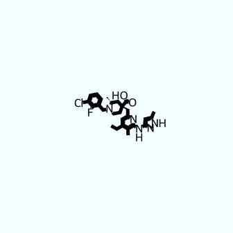 CCc1cc(C[C@@]2(C(=O)O)CCN(Cc3cccc(Cl)c3F)[C@H](C)C2)nc(Nc2cc(C)[nH]n2)c1C